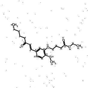 CCCCCC(=O)C=Cc1cc(OCCCC(=O)OCC)c(OC)cn1